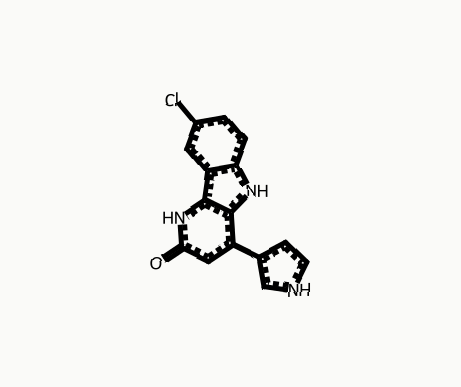 O=c1cc(-c2cc[nH]c2)c2[nH]c3ccc(Cl)cc3c2[nH]1